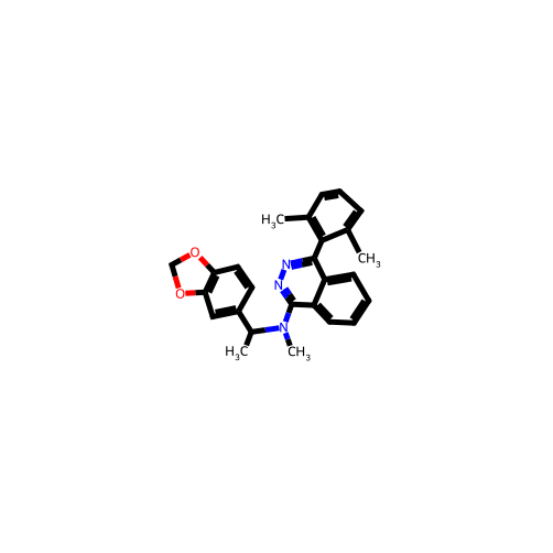 Cc1cccc(C)c1-c1nnc(N(C)C(C)c2ccc3c(c2)OCO3)c2ccccc12